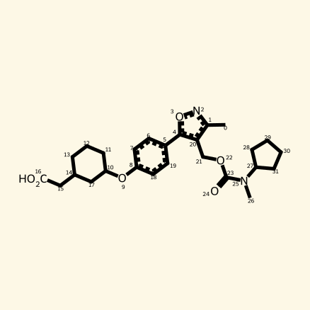 Cc1noc(-c2ccc(OC3CCCC(CC(=O)O)C3)cc2)c1COC(=O)N(C)C1CCCC1